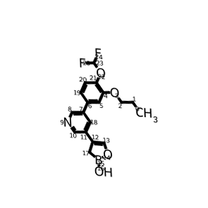 CCCOc1cc(-c2cncc(C3=COB(O)C3)c2)ccc1OC(F)F